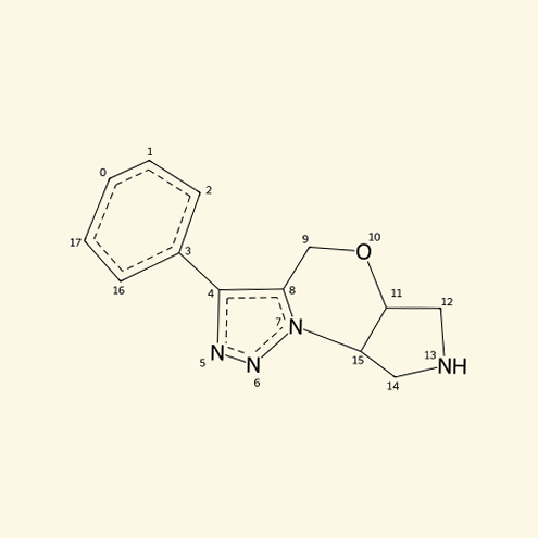 c1ccc(-c2nnn3c2COC2CNCC23)cc1